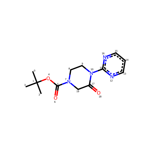 CC(C)(C)OC(=O)N1CCN(c2ncccn2)C(=O)C1